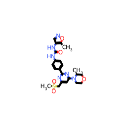 Cc1oncc1NC(=O)Nc1ccc(-c2nc(CS(C)(=O)=O)cc(N3CCOC[C@@H]3C)n2)cc1